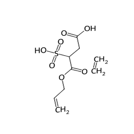 C=C.C=CCOC(=O)C(CC(=O)O)S(=O)(=O)O